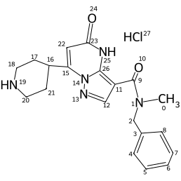 CN(Cc1ccccc1)C(=O)c1cnn2c(C3CCNCC3)cc(=O)[nH]c12.Cl